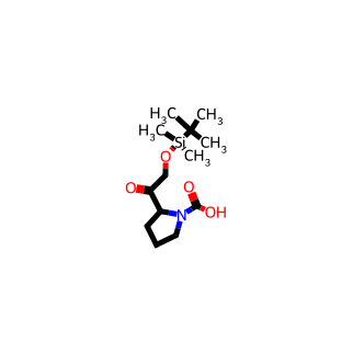 CC(C)(C)[Si](C)(C)OCC(=O)C1CCCN1C(=O)O